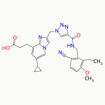 CCc1c(OC)ccc(C#N)c1CNC(=O)c1cn(Cc2cn3cc(C4CC4)cc(CCC(=O)O)c3n2)nn1